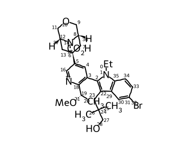 CCn1c(-c2cc([C@@H]3C[C@H]4COC[C@@H](C3)N4C(=O)O)cnc2[C@H](C)OC)c(CC(C)(C)CO)c2cc(Br)ccc21